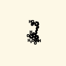 Cn1c(=O)[nH]c2ccc(CCCCCOC3CCCN(C(=O)O)C3)c(C3CCC(=O)NC3=O)c21